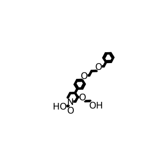 O=C(O)N1CCC(c2ccc(OCCCOCc3ccccc3)cc2)C(OCCO)C1